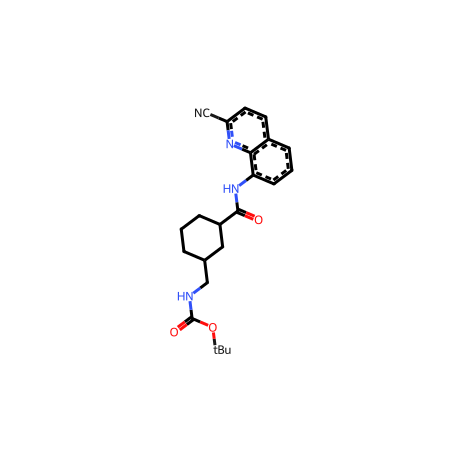 CC(C)(C)OC(=O)NCC1CCCC(C(=O)Nc2cccc3ccc(C#N)nc23)C1